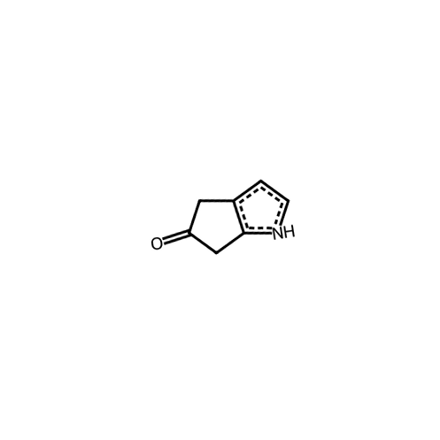 O=C1Cc2cc[nH]c2C1